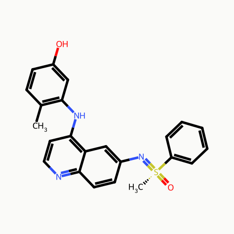 Cc1ccc(O)cc1Nc1ccnc2ccc(N=[S@](C)(=O)c3ccccc3)cc12